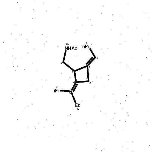 CCC/C=C1/C/C(=C(\CC)C(C)C)C1CNC(C)=O